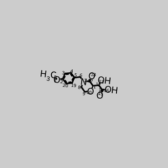 COc1ccc(CN2CCO[C@H]([C@@H](O)C(=O)O)C2=O)cc1